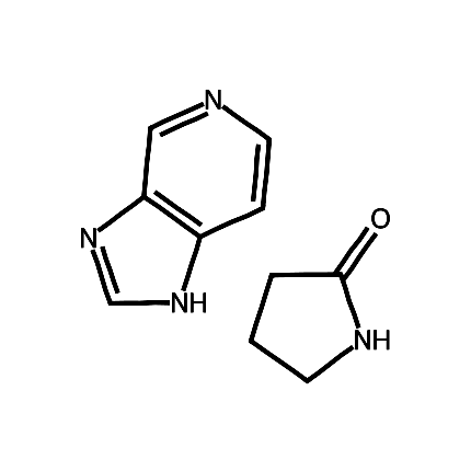 O=C1CCCN1.c1cc2[nH]cnc2cn1